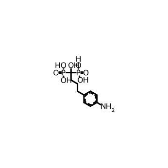 Nc1ccc(CCCC(O)(P(=O)(O)O)P(=O)(O)O)cc1